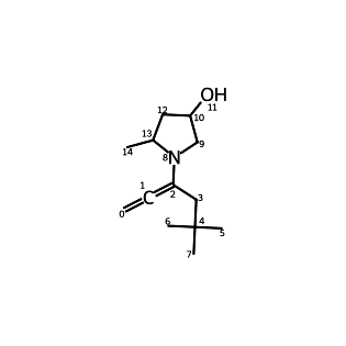 C=C=C(CC(C)(C)C)N1CC(O)CC1C